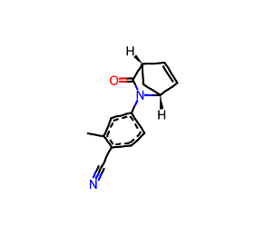 Cc1cc(N2C(=O)[C@@H]3C=C[C@H]2C3)ccc1C#N